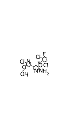 C[C@@H](Oc1cc(-c2cnc(Cl)c(OCCO)c2)cnc1N)c1c(Cl)ccc(F)c1Cl